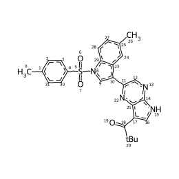 Cc1ccc(S(=O)(=O)n2cc(-c3cnc4[nH]cc(C(=O)C(C)(C)C)c4n3)c3cc(C)ccc32)cc1